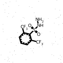 NNS(=O)(=O)c1c(C(F)(F)F)cccc1C(F)(F)F